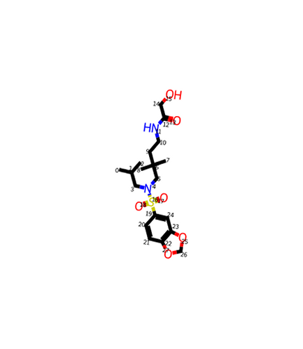 CC(C)CN(CC(C)(C)CCNC(=O)CO)S(=O)(=O)c1ccc2c(c1)OCO2